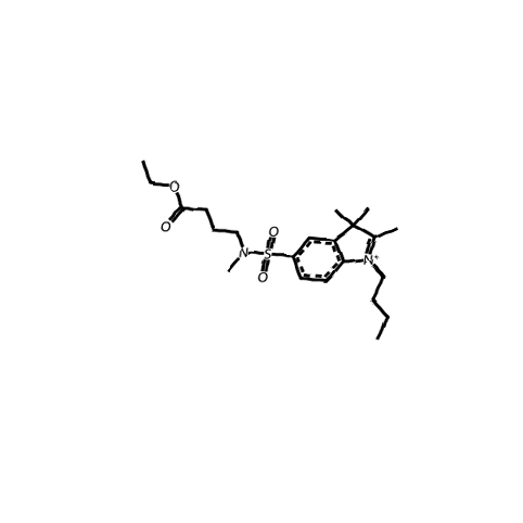 CCCC[N+]1=C(C)C(C)(C)c2cc(S(=O)(=O)N(C)CCCC(=O)OCC)ccc21